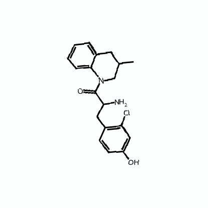 CC1Cc2ccccc2N(C(=O)C(N)Cc2ccc(O)cc2Cl)C1